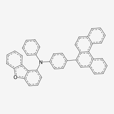 c1ccc(N(c2ccc(-c3cc4ccccc4c4c3ccc3ccccc34)cc2)c2cccc3oc4ccccc4c23)cc1